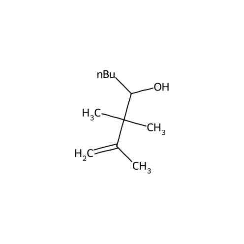 C=C(C)C(C)(C)C(O)CCCC